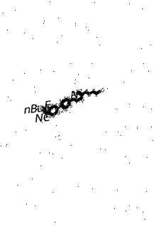 C=CCCCc1ccc(-c2ccc([C@H]3CC[C@@](C#N)(C[C@@H](F)CCCC)CC3)cc2)nc1